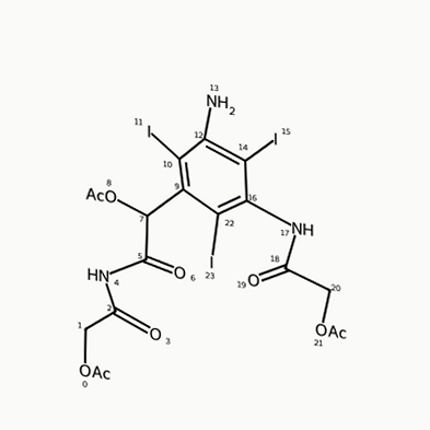 CC(=O)OCC(=O)NC(=O)C(OC(C)=O)c1c(I)c(N)c(I)c(NC(=O)COC(C)=O)c1I